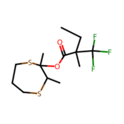 CCC(C)(C(=O)OC1(C)SCCCSC1C)C(F)(F)F